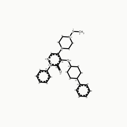 CSN1CCN(c2cnn(-c3ccccc3)c(=O)c2OC2CCC(c3ccccc3)CC2)CC1